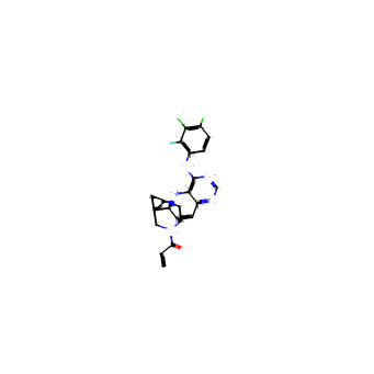 C=CC(=O)N1CCC2CC2(c2ccc3ncnc(Nc4ccc(Cl)c(Cl)c4F)c3n2)C1